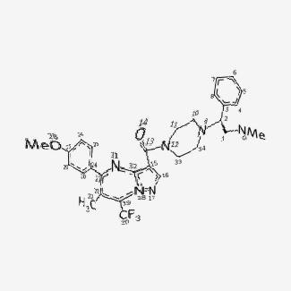 CNC[C@H](c1ccccc1)N1CCN(C(=O)c2cnn3c(C(F)(F)F)c(C)c(-c4ccc(OC)cc4)nc23)CC1